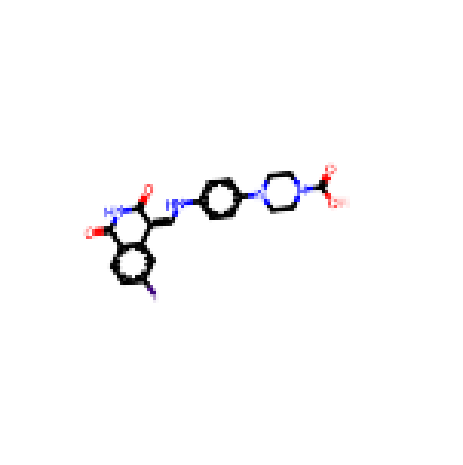 O=C1NC(=O)c2ccc(I)cc2C1=CNc1ccc(N2CCN(C(=O)O)CC2)cc1